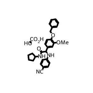 COc1cc(C(Nc2ccc(C#N)cc2)C(=O)NC2CCCC2)ccc1OCc1ccccc1.O=C(O)O